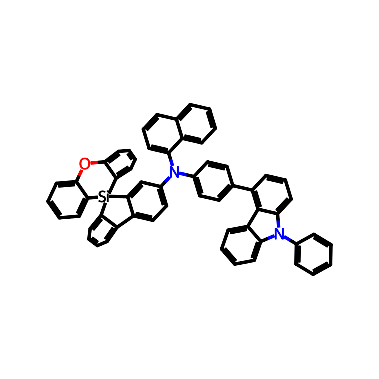 c1ccc(-n2c3ccccc3c3c(-c4ccc(N(c5ccc6c(c5)[Si]5(c7ccccc7Oc7ccccc75)c5ccccc5-6)c5cccc6ccccc56)cc4)cccc32)cc1